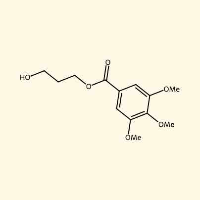 COc1cc(C(=O)OCCCO)cc(OC)c1OC